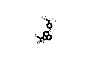 CCC(C)c1ccc(Sc2ccc3c4c(cccc24)C2=NC(=O)C(C#N)=C23)cc1